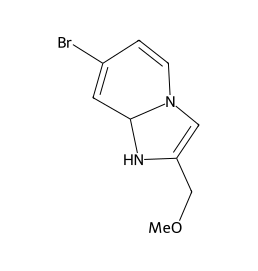 COCC1=CN2C=CC(Br)=CC2N1